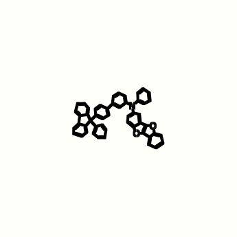 c1ccc(N(c2cccc(-c3ccc(C4(c5ccccc5)c5ccccc5-c5ccccc54)cc3)c2)c2ccc3oc4c5ccccc5oc4c3c2)cc1